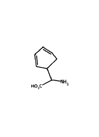 NC(C(=O)O)C1C=CC=CC1